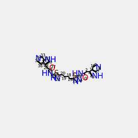 O=C(Cc1c[nH]c2cnccc12)Nc1nnc(CCCCc2nnc(NC(=O)Cc3c[nH]c4cnccc34)s2)s1